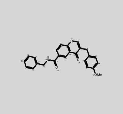 COc1ccc(Cc2coc3ccc(C(=O)NCc4ccccc4)cc3c2=O)cc1